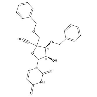 C#CC1(COCc2ccccc2)OC(n2ccc(=O)[nH]c2=O)[C@H](O)[C@@H]1OCc1ccccc1